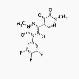 CN1N=CC(c2nn(C)c(=O)n(-c3cc(F)c(F)c(F)c3)c2=O)C(=O)C1=O